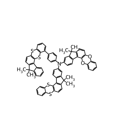 CC1(C)c2cc(N(c3ccc(-c4cccc5c4Sc4c(ccc6c4-c4ccccc4C6(C)C)S5)cc3)c3ccc4c(c3)C(C)(C)c3ccc5c(c3-4)Sc3ccccc3S5)ccc2-c2c1ccc1c2Oc2ccccc2O1